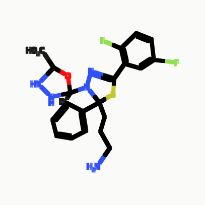 CCC1(N2N=C(c3cc(F)ccc3F)SC2(CCCN)c2ccccc2)NNC(C(=O)O)O1